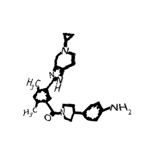 Cc1cc(C)c(-c2nc3c([nH]2)CCN(C2CC2)C3)cc1C(=O)N1CCC(c2ccc(N)cc2)CC1